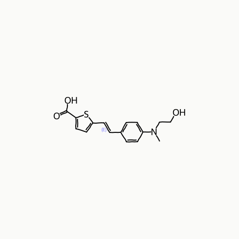 CN(CCO)c1ccc(/C=C/c2ccc(C(=O)O)s2)cc1